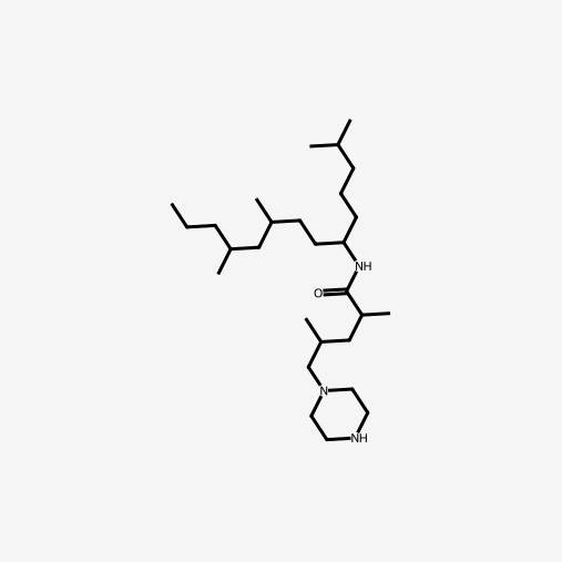 CCCC(C)CC(C)CCC(CCCC(C)C)NC(=O)C(C)CC(C)CN1CCNCC1